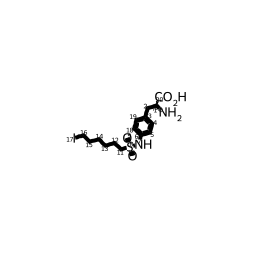 N[C@@H](Cc1ccc(NS(=O)(=O)CCCCCCI)cc1)C(=O)O